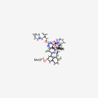 COCOc1cc(-c2nc(OC)c3c(N4CC5CCC(C4)N5C(=O)OC(C)(C)C)nc(OCC4(CN5CC6CC6C5)CC4)nc3c2F)c2c(C#C[Si](C(C)C)(C(C)C)C(C)C)c(F)ccc2c1